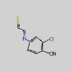 N#Cc1ccc(N=CC=S)cc1Cl